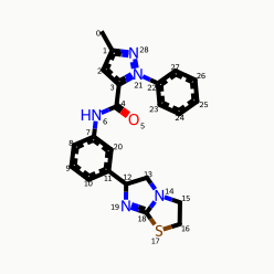 Cc1cc(C(=O)Nc2cccc(C3CN4CCSC4=N3)c2)n(-c2ccccc2)n1